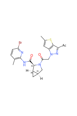 CC(=O)c1nn(CC(=O)N2C[C@H]3C[C@H]3[C@H]2C(=O)Nc2nc(Br)ccc2C)c2cc(C)sc12